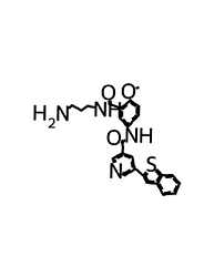 COc1ccc(NC(=O)c2cncc(-c3cc4ccccc4s3)c2)cc1C(=O)NCCCN